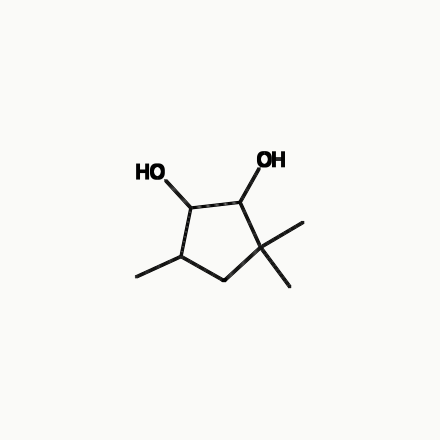 CC1CC(C)(C)C(O)C1O